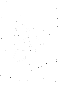 C=CC1(Cn2cncn2)C=CC=CC1